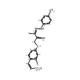 C/C(=N/Nc1ccc(C(F)(F)F)cc1)C(=N)CSc1ccc(/C=C\C(=O)O)c(C)c1